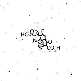 CN=c1c2c(N3CCO[C@H](CO)C3)c(F)cc3c(=O)c(C(=O)O)c4scc1n4c32